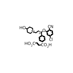 N#Cc1ccc(Cl)cc1O[C@H](CCN1CCC(O)CC1)c1ccccc1.O=C(O)C=CC(=O)O